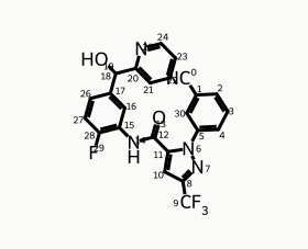 N#Cc1cccc(-n2nc(C(F)(F)F)cc2C(=O)Nc2cc(C(O)c3ccccn3)ccc2F)c1